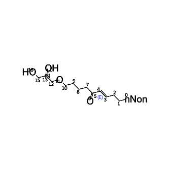 CCCCCCCCCCC/C=C/C(=O)CCCCOC[C@@H](O)CO